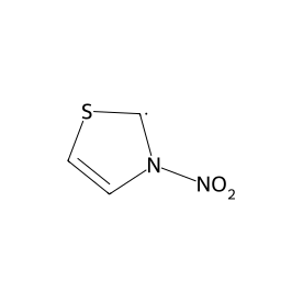 O=[N+]([O-])N1[CH]SC=C1